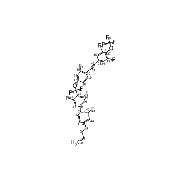 C=CCCc1ccc(-c2cc(F)c(C(F)(F)Oc3ccc(C#Cc4cc(F)c(OC(F)(F)F)c(F)c4)c(F)c3)c(F)c2)c(F)c1